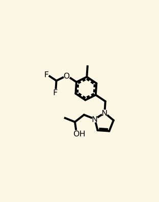 Cc1cc(CN2CC=CN2CC(C)O)ccc1OC(F)F